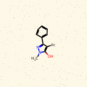 CC(=O)c1c(-c2ccccc2)nn(C)c1O